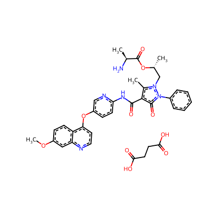 COc1ccc2c(Oc3ccc(NC(=O)c4c(C)n(C[C@@H](C)OC(=O)[C@H](C)N)n(-c5ccccc5)c4=O)nc3)ccnc2c1.O=C(O)CCC(=O)O